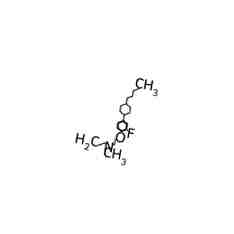 C=CCN(C)CCOc1ccc(C2CCC(CCCCC)CC2)cc1F